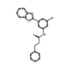 O=C(Nc1cc(Br)cc(-c2nc3ccccc3o2)c1)OCc1ccccc1